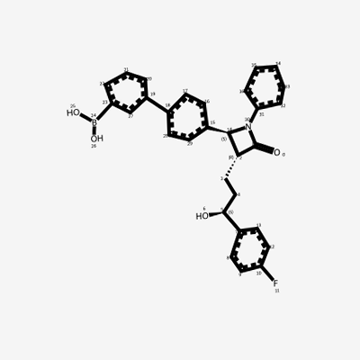 O=C1[C@H](CC[C@H](O)c2ccc(F)cc2)[C@@H](c2ccc(-c3cccc(B(O)O)c3)cc2)N1c1ccccc1